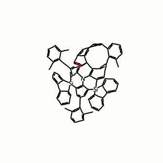 Cc1cccc(C)c1-c1cc2c3c(c1)[Si]1(c4ccccc4-c4ccccc41)c1cc(-c4c(C)cccc4C)cc4c1N3c1c3cc(cc1[Si]41c4ccccc4-c4ccccc41)-c1c(C)cccc1-c1ccc4c(c1)-c1ccccc1C423